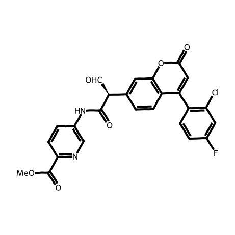 COC(=O)c1ccc(NC(=O)[C@@H](C=O)c2ccc3c(-c4ccc(F)cc4Cl)cc(=O)oc3c2)cn1